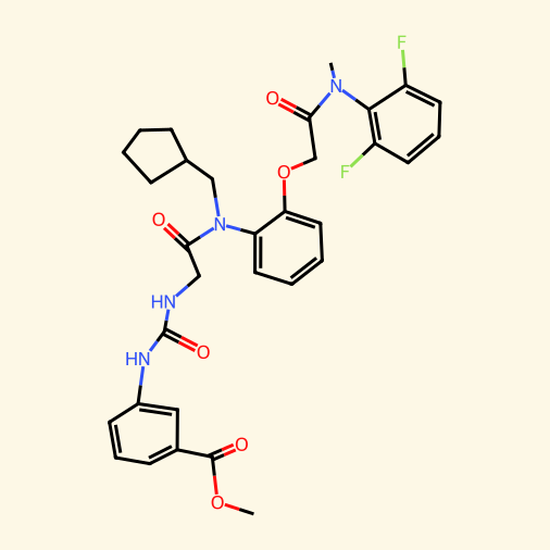 COC(=O)c1cccc(NC(=O)NCC(=O)N(CC2CCCC2)c2ccccc2OCC(=O)N(C)c2c(F)cccc2F)c1